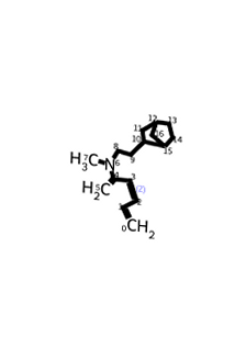 C=C/C=C\C(=C)N(C)CCC1CC2CCC1C2